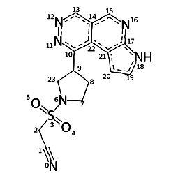 N#CCS(=O)(=O)N1CCC(c2nncc3cnc4[nH]ccc4c23)C1